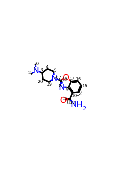 CN(C)C1CCN(c2nc3c(C(N)=O)[c]ccc3o2)CC1